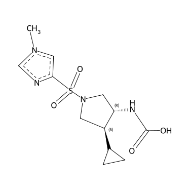 Cn1cnc(S(=O)(=O)N2C[C@H](NC(=O)O)[C@@H](C3CC3)C2)c1